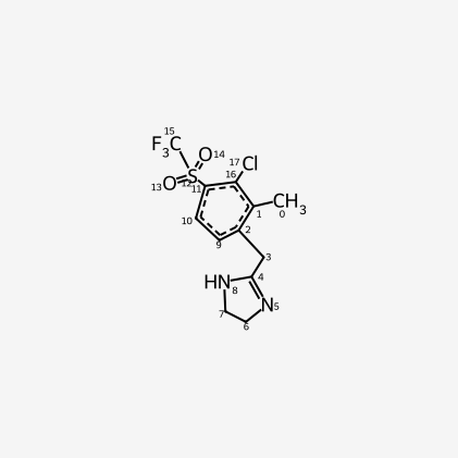 Cc1c(CC2=NCCN2)ccc(S(=O)(=O)C(F)(F)F)c1Cl